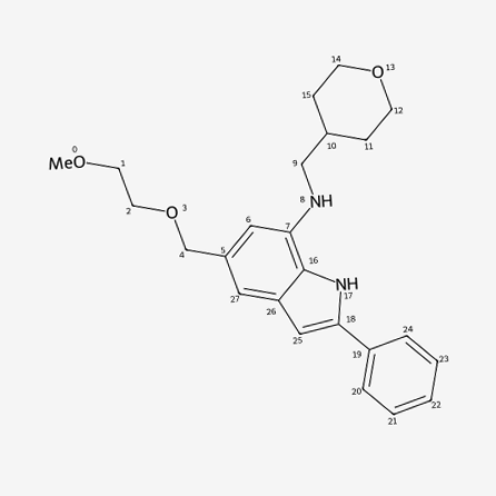 COCCOCc1cc(NCC2CCOCC2)c2[nH]c(-c3ccccc3)cc2c1